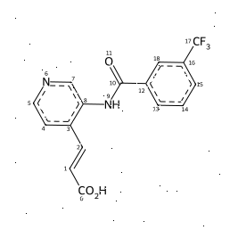 O=C(O)/C=C/c1ccncc1NC(=O)c1cccc(C(F)(F)F)c1